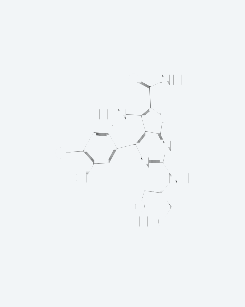 CC[C@@H](CO)Nc1nc(-c2ccc(Cl)c(Cl)c2)c2c(N)c(C(N)=O)sc2n1